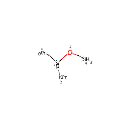 CCC[SiH](CCC)O[SiH3]